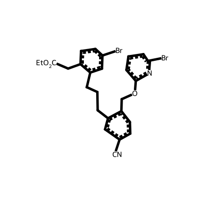 CCOC(=O)Cc1ccc(Br)cc1CCCc1cc(C#N)ccc1COc1cccc(Br)n1